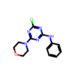 Clc1nc(Nc2ccccc2)nc(N2CCOCC2)n1